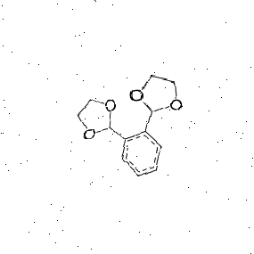 c1ccc(C2OCCO2)c(C2OCCO2)c1